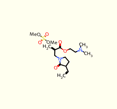 C=CC1CCN(CC(=C)C(=O)OCCN(C)C)C1=O.COS(=O)(=O)OC